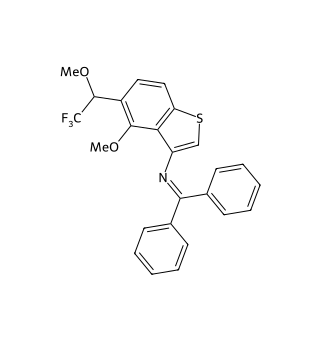 COc1c(C(OC)C(F)(F)F)ccc2scc(N=C(c3ccccc3)c3ccccc3)c12